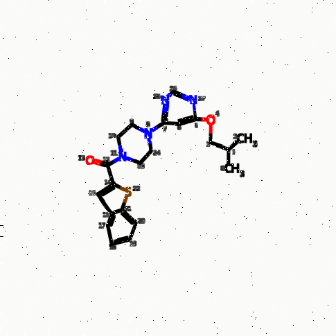 CC(C)COc1cc(N2CCN(C(=O)c3cc4ccccc4s3)CC2)ncn1